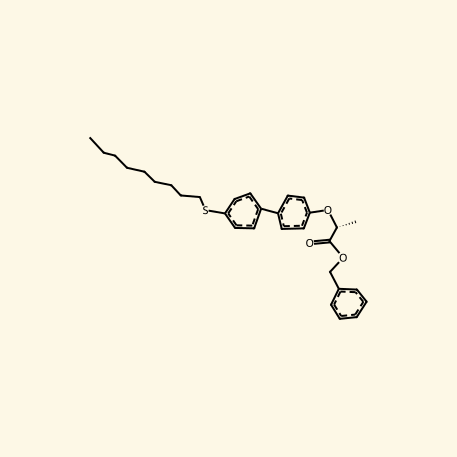 CCCCCCCCCSc1ccc(-c2ccc(O[C@H](C)C(=O)OCc3ccccc3)cc2)cc1